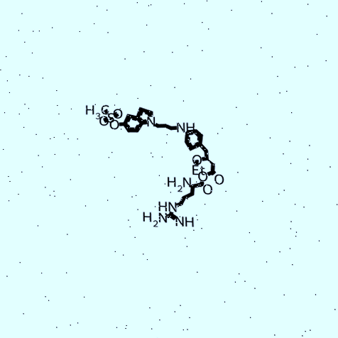 CCO[C@H](CC(=O)OC(=O)[C@@H](N)CCCNC(=N)N)Cc1ccc(NCCCn2ccc3cc(OS(C)(=O)=O)ccc32)cc1